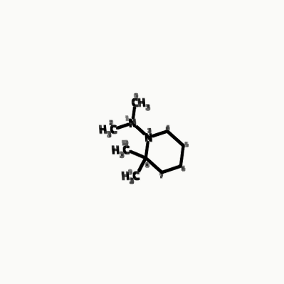 CN(C)N1CCCCC1(C)C